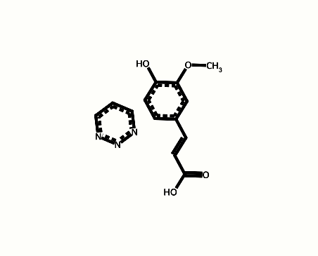 COc1cc(C=CC(=O)O)ccc1O.c1cnnnc1